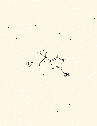 CCC1(c2csc(C)c2)CC1